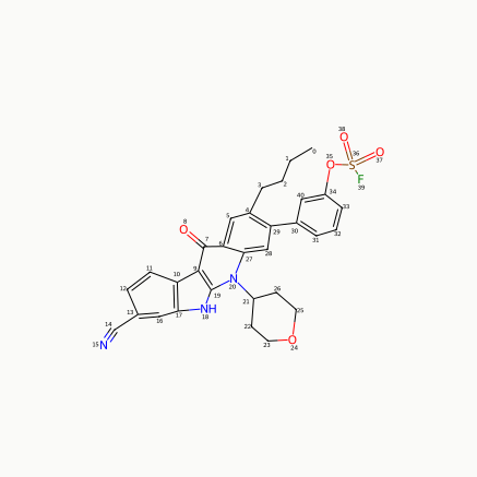 CCCCc1cc2c(=O)c3c4ccc(C#N)cc4[nH]c3n(C3CCOCC3)c2cc1-c1cccc(OS(=O)(=O)F)c1